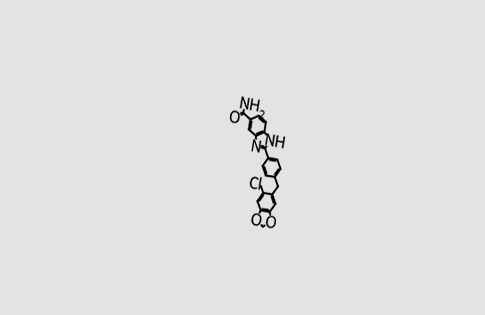 NC(=O)c1ccc2[nH]c(-c3ccc(Cc4cc5c(cc4Cl)OCO5)cc3)nc2c1